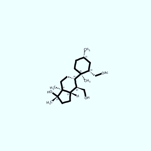 CC(=O)OC[C@H]1C[C@@H](C)CC[C@]1(C)[C@H]1CC[C@@]2(C)[C@@H](CC[C@]2(C)O)[C@@H]1CO